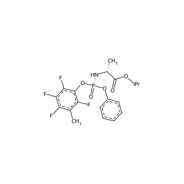 Cc1c(F)c(F)c(F)c(O[P@@](=O)(N[C@H](C)C(=O)OC(C)C)Oc2ccccc2)c1F